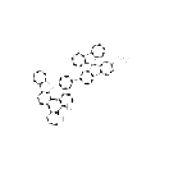 COc1ccc2c(c1)C1(c3ccccc3-c3ccccc31)c1cc(-c3ccc(B4c5ccccc5-c5ccc6c7cccnc7c7ncccc7c6c54)cc3)ccc1-2